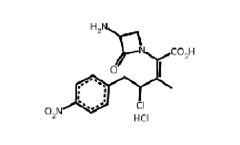 CC(=C(C(=O)O)N1CC(N)C1=O)C(Cl)Cc1ccc([N+](=O)[O-])cc1.Cl